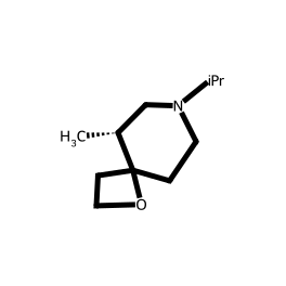 CC(C)N1CCC2(CCO2)[C@H](C)C1